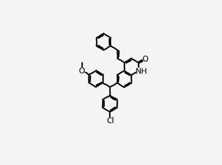 COc1ccc(C(c2ccc(Cl)cc2)c2ccc3[nH]c(=O)cc(C=Cc4ccccc4)c3c2)cc1